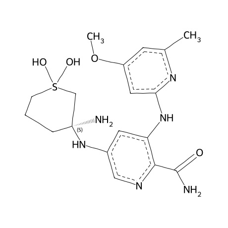 COc1cc(C)nc(Nc2cc(N[C@@]3(N)CCCS(O)(O)C3)cnc2C(N)=O)c1